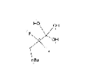 CCCCCC(F)(F)C(O)(O)O